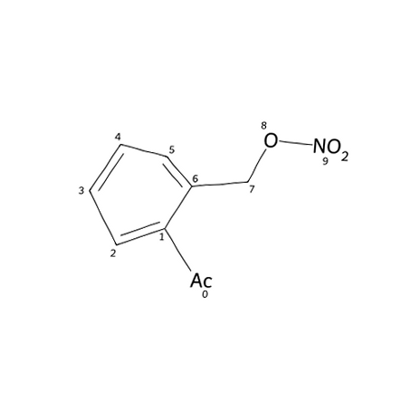 CC(=O)c1ccccc1CO[N+](=O)[O-]